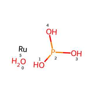 O.OP(O)O.[Ru]